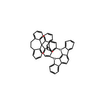 c1ccc(-n2c3ccccc3c3ccc4c5ccccc5n(-c5ccc6c(c5)-c5ccccc5C65c6ccccc6CCc6ccccc65)c4c32)cc1